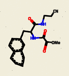 COC(=O)C(=O)NC(Cc1ccc2ccccc2c1)C(=O)NCCC#N